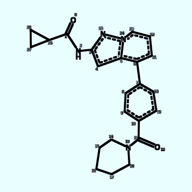 O=C(Nc1cc2c(-c3ccc(C(=O)N4CCCCC4)cc3)cccn2n1)C1CC1